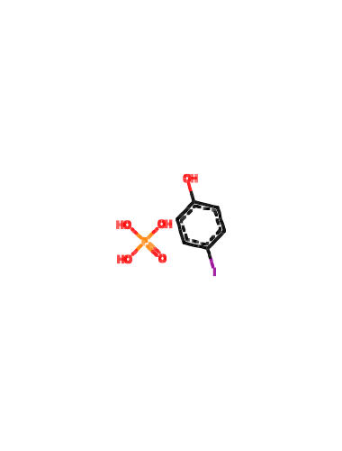 O=P(O)(O)O.Oc1ccc(I)cc1